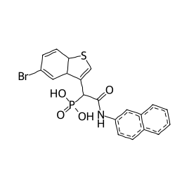 O=C(Nc1ccc2ccccc2c1)C(C1=CSC2C=CC(Br)=CC12)P(=O)(O)O